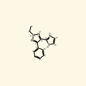 CCn1nc(-c2ccccc2)c(-c2nccs2)n1